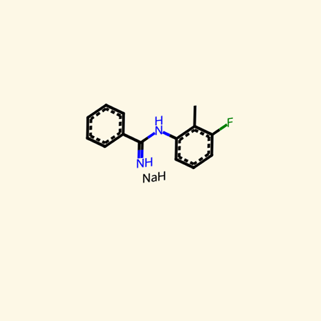 Cc1c(F)cccc1NC(=N)c1ccccc1.[NaH]